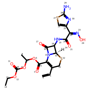 C=CC1=C(C(=O)OC(C)OC(=O)OCC)N2C(=O)C(NC(=O)/C(=N\O)c3csc(N)n3)[C@H]2SC1